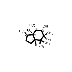 C[C@@H]1CC[C@H]2C(C)(C)[C@@](C)(O)[C@@H](O)[C@@H](C)[C@]12C